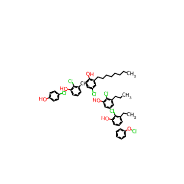 CCCCCCCCc1cc(Cl)ccc1O.CCCc1cccc(O)c1Cl.CCc1cccc(O)c1Cl.Cc1cccc(O)c1Cl.ClOc1ccccc1.Oc1ccc(Cl)cc1